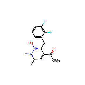 COC(=O)/C(=C/C(C)N(C)NO)CCc1cccc(F)c1F